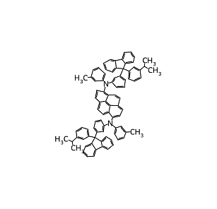 Cc1cccc(N(c2cccc(C3(c4cccc(C(C)C)c4)c4ccccc4-c4ccccc43)c2)c2ccc3ccc4c(N(c5cccc(C)c5)c5cccc(C6(c7cccc(C(C)C)c7)c7ccccc7-c7ccccc76)c5)ccc5ccc2c3c54)c1